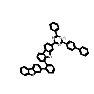 c1ccc(C2=NC(c3ccc4c(c3)oc3c(-c5ccccc5-c5ccc6c(c5)sc5ccccc56)cccc34)=NC(c3ccc(-c4ccccc4)cc3)N2)cc1